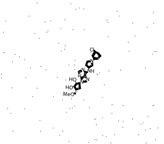 COC[C@H]1C[C@@H](n2cnc3c(N[C@H]4CCN(c5cccc(Cl)c5)C4)ncnc32)[C@@H](O)[C@H]1O